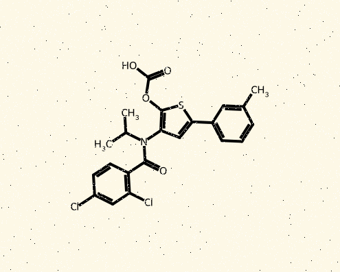 Cc1cccc(-c2cc(N(C(=O)c3ccc(Cl)cc3Cl)C(C)C)c(OC(=O)O)s2)c1